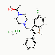 CC(O)N1CCN(Cc2c(-c3ccccc3)sc3ccc(Cl)cc23)CC1.Cl.Cl